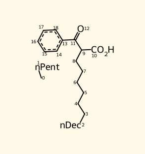 CCCCCC.CCCCCCCCCCCCCCCCC(C(=O)O)C(=O)c1ccccc1